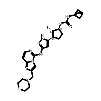 O=C(NC12CC(C1)C2)O[C@H]1CC[C@@H](c2cc(Nc3nccc4nc(CN5CCOCC5)cn34)n[nH]2)[C@@H]1F